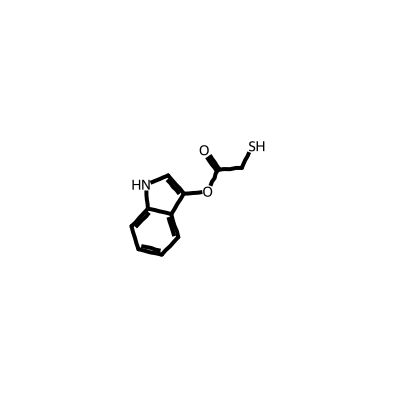 O=C(CS)Oc1c[nH]c2ccccc12